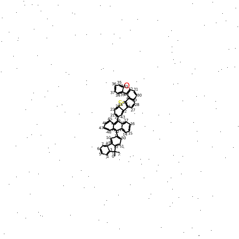 CC1(C)c2ccccc2-c2cc(-c3c4ccccc4c(-c4ccc5sc6c(ccc7ccc8oc9ccccc9c8c76)c5c4)c4ccccc34)ccc21